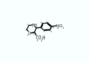 O=C(O)C1OCCNC1c1ccc([N+](=O)[O-])cc1